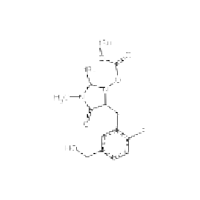 CN1C(=O)C(Cc2cc(CO)ccc2F)N(OC(=O)OC(C)(C)C)C1C(C)(C)C